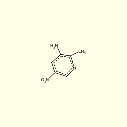 Cc1ncc([N+](=O)[O-])cc1N